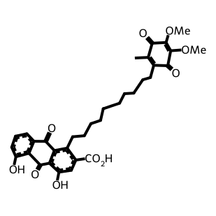 COC1=C(OC)C(=O)C(CCCCCCCCCCc2c(C(=O)O)cc(O)c3c2C(=O)c2cccc(O)c2C3=O)=C(C)C1=O